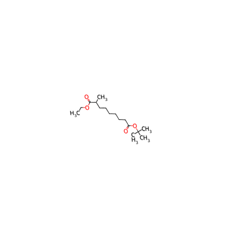 CCOC(=O)C(C)CCCCCCC(=O)OC(C)(C)C